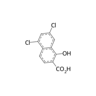 O=C(O)c1ccc2c(Cl)cc(Cl)cc2c1O